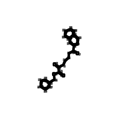 O=C(CCCCC(=O)c1ccc2ccccc2c1)C(=O)OCc1ccccc1